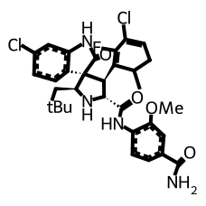 COc1cc(C(N)=O)ccc1NC(=O)[C@@H]1N[C@@H](CC(C)(C)C)[C@@]2(C(=O)Nc3cc(Cl)ccc32)[C@H]1C1=C(F)C(Cl)=CCC1C